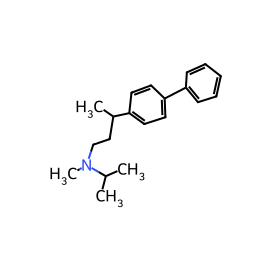 CC(CCN(C)C(C)C)c1ccc(-c2ccccc2)cc1